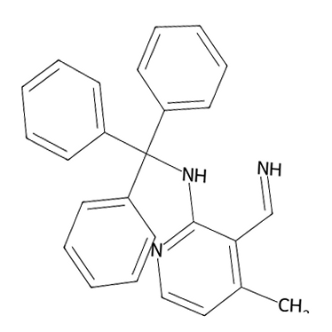 Cc1ccnc(NC(c2ccccc2)(c2ccccc2)c2ccccc2)c1C=N